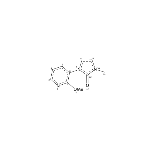 COc1nc[c]cc1-n1ccn(C)c1=O